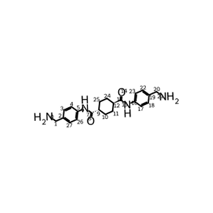 NCc1ccc(NC(=O)[C@H]2CC[C@H](C(=O)Nc3ccc(CN)cc3)CC2)cc1